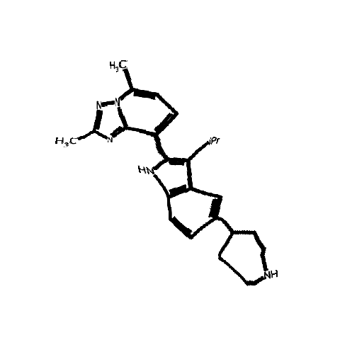 Cc1nc2c(-c3[nH]c4ccc(C5CCNCC5)cc4c3C(C)C)ccc(C)n2n1